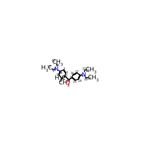 C=C(/C=C\C(=C/CC)N(CC)CC)C(=O)c1ccc(N(CC)CC)cc1